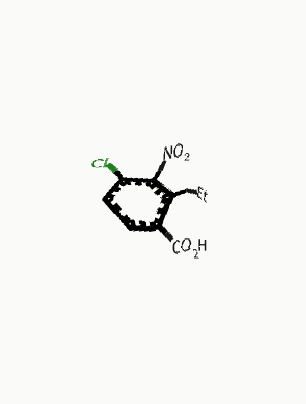 CCc1c(C(=O)O)ccc(Cl)c1[N+](=O)[O-]